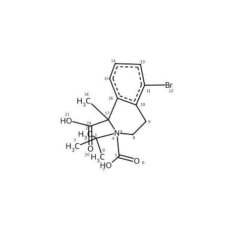 CC(C)(C)[N+]1(C(=O)O)CCc2c(Br)cccc2C1(C)C(=O)O